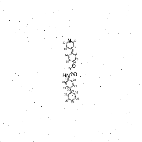 O=C(COc1ccc(-c2ccncc2)cc1)Nc1ccc(-c2ccccc2)cc1